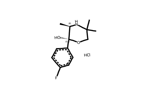 C[C@H]1NC(C)(C)CO[C@@]1(O)c1ccc(F)cc1.Cl